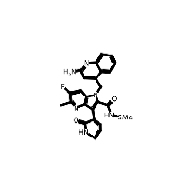 CSNC(=O)c1c(-c2ccc[nH]c2=O)c2nc(C)c(F)cc2n1Cc1cc(N)nc2ccccc12